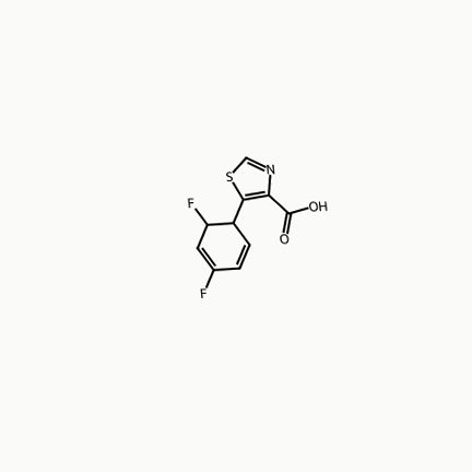 O=C(O)c1ncsc1C1C=CC(F)=CC1F